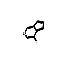 Ic1cocc2[c]ccc1-2